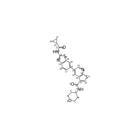 O=C(NC1CCOCC1)c1csc2ncc(-c3ccc4nc(NC(=O)C5CC5)sc4c3)cc12